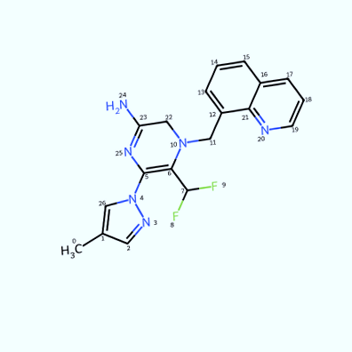 Cc1cnn(C2=C(C(F)F)N(Cc3cccc4cccnc34)CC(N)=N2)c1